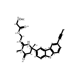 CC#Cc1ccc2sc3ccc([C@]4(C)CC(=O)N(C)C(=NCOC(=O)CCCCCCCCCCC)N4)cc3c2c1